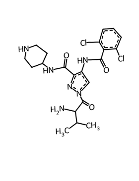 CC(C)C(N)C(=O)n1cc(NC(=O)c2c(Cl)cccc2Cl)c(C(=O)NC2CCNCC2)n1